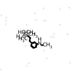 CCNc1cccc(CCC(C)(C)[Si](C)(C)O)c1